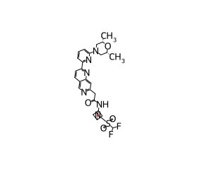 C[C@@H]1CN(c2cccc(-c3ccc4cnc(CC(=O)NC56CC(C5)N(S(=O)(=O)C(F)F)C6)cc4n3)n2)C[C@H](C)O1